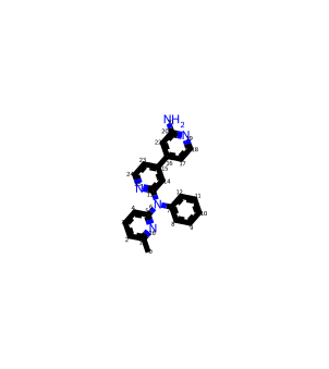 Cc1cccc(N(c2ccccc2)c2cc(-c3ccnc(N)c3)ccn2)n1